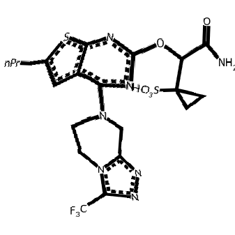 CCCc1cc2c(N3CCn4c(nnc4C(F)(F)F)C3)nc(OC(C(N)=O)C3(S(=O)(=O)O)CC3)nc2s1